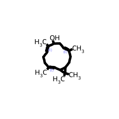 C/C1=C\C2C(CC/C(C)=C/CC(O)/C(C)=C/CC1)C2(C)C